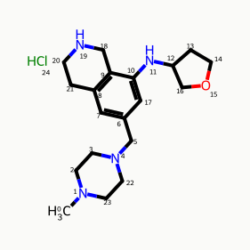 CN1CCN(Cc2cc3c(c(NC4CCOC4)c2)CNCC3)CC1.Cl